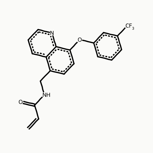 C=CC(=O)NCc1ccc(Oc2cccc(C(F)(F)F)c2)c2ncccc12